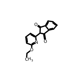 CCOc1cccc(C2C(=O)c3ccccc3C2=O)n1